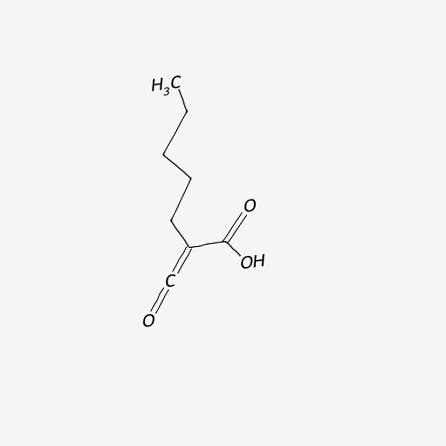 CCCCCC(=C=O)C(=O)O